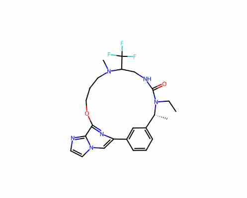 CCN1C(=O)NCC(C(F)(F)F)N(C)CCCOc2nc(cn3ccnc23)-c2cccc(c2)[C@H]1C